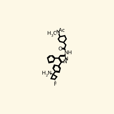 CC(=O)N(C)C1CCC(CC(=O)Nc2cc(-c3ccccc3)c(-c3ccc([C@]4(N)C[C@H](F)C4)cc3)nn2)CC1